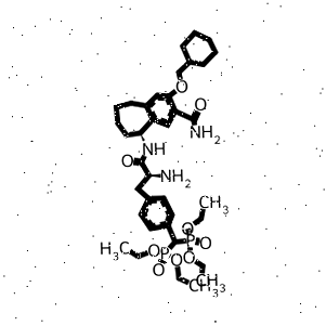 CCOP(=O)(OCC)C(c1ccc(C[C@H](N)C(=O)N[C@@H]2CCCCc3cc(OCC4CCCCC4)c(C(N)=O)cc32)cc1)P(=O)(OCC)OCC